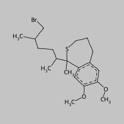 COc1cc2c(cc1OC)C(C)(C(C)CCC(C)CBr)SCCC2